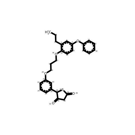 CCCc1cc(Oc2ccccc2)ccc1OCCCOc1cccc(C2SC(=O)CC2=O)c1